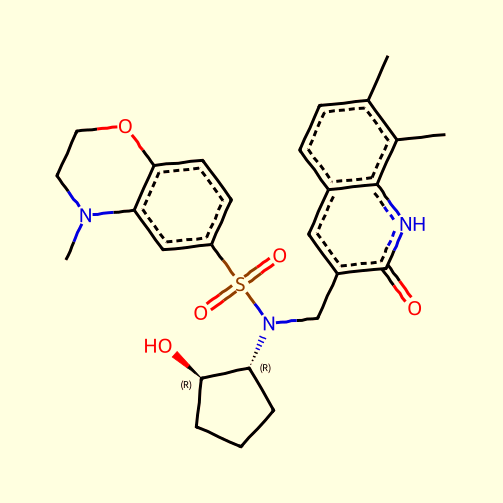 Cc1ccc2cc(CN([C@@H]3CCC[C@H]3O)S(=O)(=O)c3ccc4c(c3)N(C)CCO4)c(=O)[nH]c2c1C